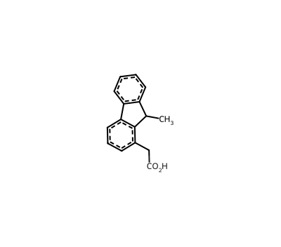 CC1c2ccccc2-c2cccc(CC(=O)O)c21